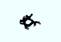 CC1(F)CC(C)(F)C(F)(F)C(F)(F)O1